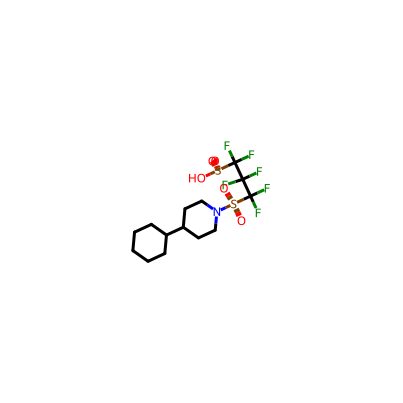 O=S(=O)(O)C(F)(F)C(F)(F)C(F)(F)S(=O)(=O)N1CCC(C2CCCCC2)CC1